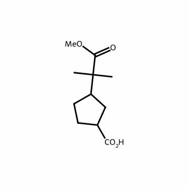 COC(=O)C(C)(C)C1CCC(C(=O)O)C1